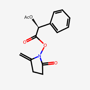 C=C1CCC(=O)N1OC(=O)[C@@H](OC(C)=O)c1ccccc1